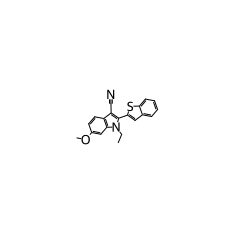 CCn1c(-c2cc3ccccc3s2)c(C#N)c2ccc(OC)cc21